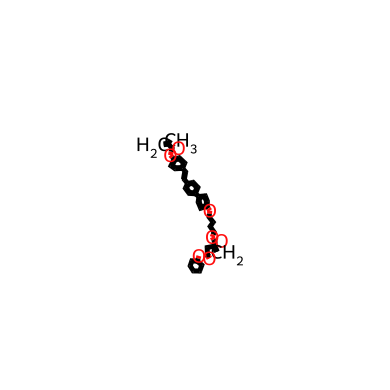 C=C(C)C(=O)Oc1ccc(/C=C/c2ccc(-c3ccc(OCCCCOC(=O)C(=C)CC(=O)OC4CCCCC4)cc3)cc2)cc1